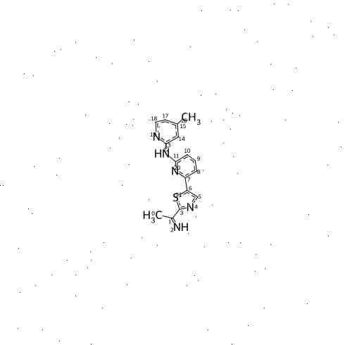 CC(=N)c1ncc(-c2cccc(Nc3cc(C)ccn3)n2)s1